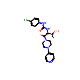 C[C@H](O)[C@H](NC(=O)Nc1ccc(Cl)cc1)C(=O)N1CCN(c2ccncc2)CC1